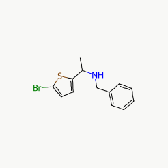 CC(NCc1ccccc1)c1ccc(Br)s1